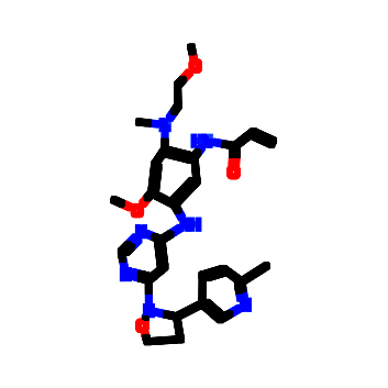 C=CC(=O)Nc1cc(Nc2cc(N3OCCC3c3ccc(C)nc3)ncn2)c(OC)cc1N(C)CCOC